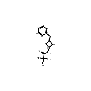 O=C(ON1CC(Cc2ccccc2)C1)C(F)(F)F